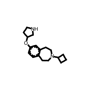 c1cc2c(cc1OC1CCNC1)CCN(C1CCC1)CC2